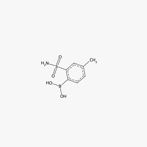 Cc1ccc(B(O)O)c(S(N)(=O)=O)c1